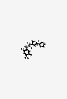 N#Cc1cc(F)c(NS(=O)(=O)c2c[nH]c(-c3cncs3)c2)cc1F